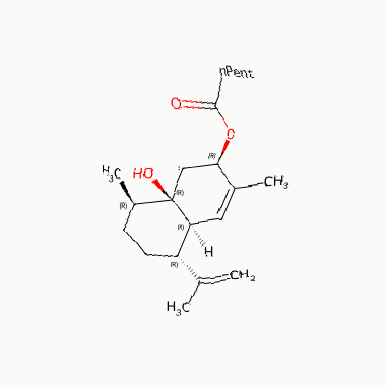 C=C(C)[C@@H]1CC[C@@H](C)[C@]2(O)[C][C@@H](OC(=O)CCCCC)C(C)=C[C@@H]12